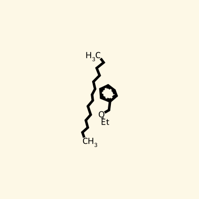 CCCCCCCCCCCCCC.CCOCc1ccccc1